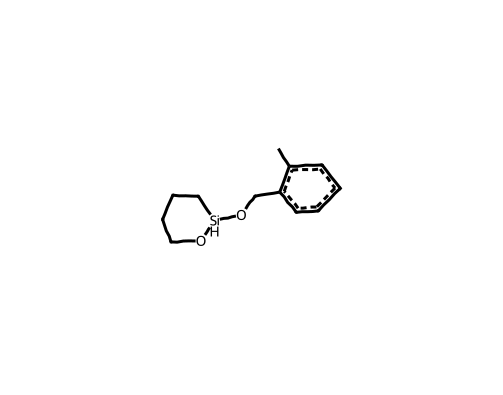 Cc1ccccc1CO[SiH]1CCCCO1